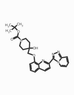 CC(C)(C)OC(=O)N1CCC(O)(COc2cccc3ccc(-c4nnc5ccccn45)nc23)CC1